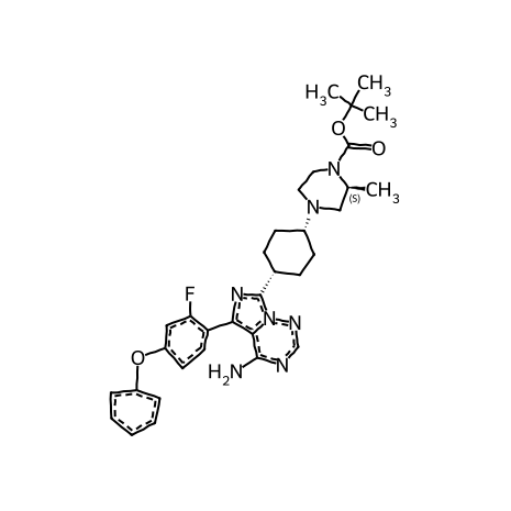 C[C@H]1CN([C@H]2CC[C@@H](c3nc(-c4ccc(Oc5ccccc5)cc4F)c4c(N)ncnn43)CC2)CCN1C(=O)OC(C)(C)C